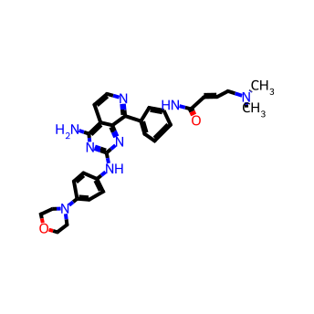 CN(C)C/C=C/C(=O)Nc1cccc(-c2nccc3c(N)nc(Nc4ccc(N5CCOCC5)cc4)nc23)c1